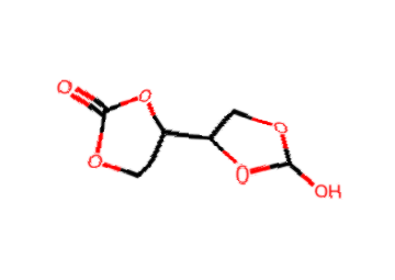 O=C1OCC(C2COC(O)O2)O1